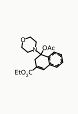 CCOC(=O)C1=Cc2ccccc2C(OC(C)=O)(N2CCOCC2)C1